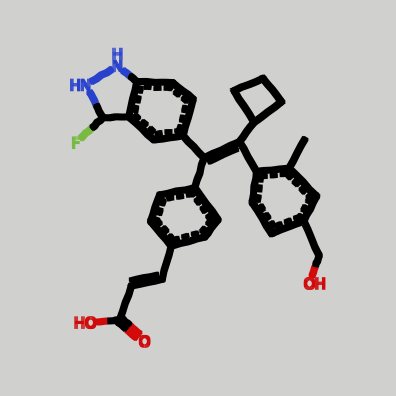 Cc1cc(CO)ccc1/C(=C(\c1ccc(/C=C/C(=O)O)cc1)c1ccc2c(c1)C(F)NN2)C1CCC1